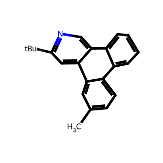 Cc1ccc2c3ccccc3c3cnc(C(C)(C)C)cc3c2c1